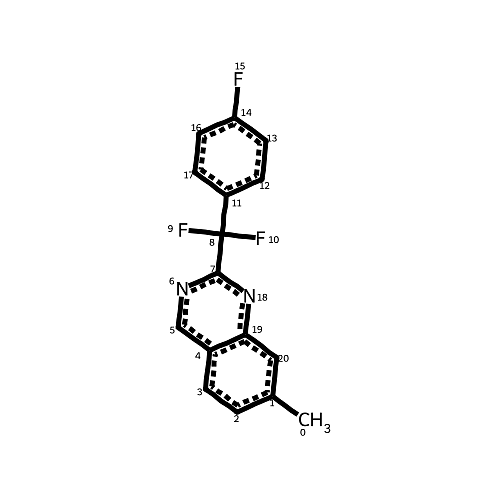 Cc1ccc2cnc(C(F)(F)c3ccc(F)cc3)nc2c1